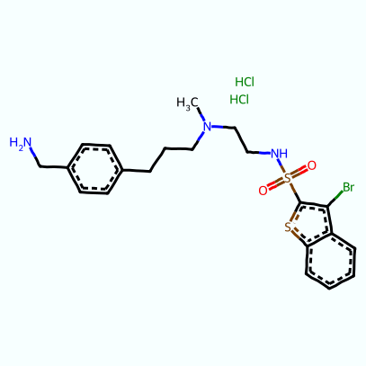 CN(CCCc1ccc(CN)cc1)CCNS(=O)(=O)c1sc2ccccc2c1Br.Cl.Cl